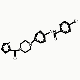 O=C(Nc1ccc(N2CCN(C(=O)c3cccs3)CC2)cc1)c1ccc(Br)cc1